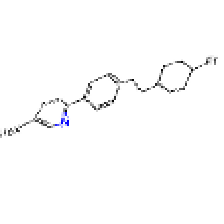 CCCCCCc1ccc(-c2ccc(CCC3CCC(CC)CC3)cc2)nc1